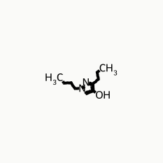 CCCCn1cc(O)c(CCC)n1